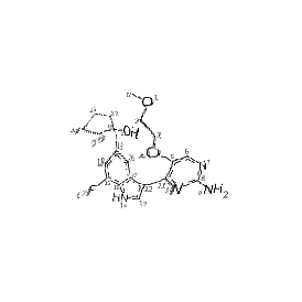 COCCOc1cnc(N)nc1-c1c[nH]c2c(F)cc(C3(O)CCCC3)cc12